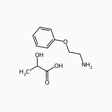 CC(O)C(=O)O.NCCOc1ccccc1